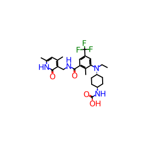 CCN(c1cc(C(F)(F)F)cc(C(=O)NCc2c(C)cc(C)[nH]c2=O)c1C)[C@H]1CC[C@H](NC(=O)O)CC1